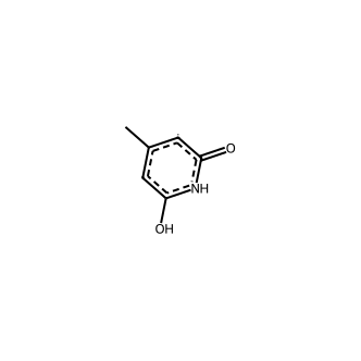 Cc1[c]c(=O)[nH]c(O)c1